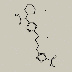 CNC(=O)c1cn(CCCCc2ccc(N(C(=O)O)C3CCCCC3)nn2)nn1